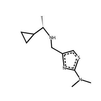 C[C@H](NCc1csc(N(C)C)n1)C1CC1